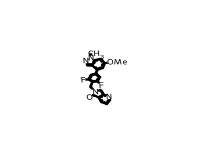 COc1cc(-c2cc(F)c(CN3Cc4ncccc4C3=O)c(F)c2)c2cnn(C)c2c1